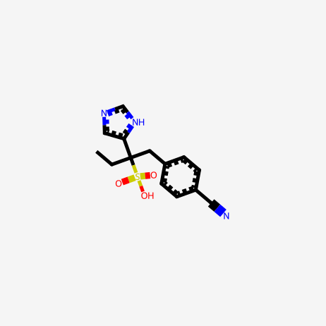 CCC(Cc1ccc(C#N)cc1)(c1cnc[nH]1)S(=O)(=O)O